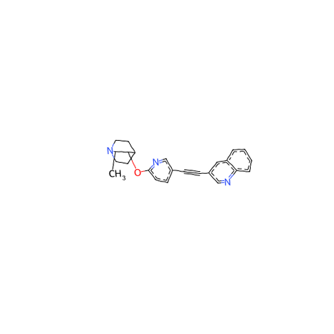 CC1C(Oc2ccc(C#Cc3cnc4ccccc4c3)cn2)C2CCN1CC2